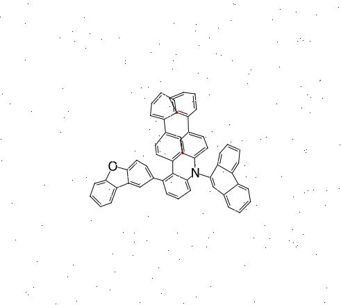 c1ccc(-c2ccc(-c3c(-c4ccc5oc6ccccc6c5c4)cccc3N(c3ccc(-c4ccccc4)cc3)c3cc4ccccc4c4ccccc34)cc2)cc1